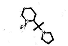 CC(C)N1CCCCC1C(C)(C)N1CCCC1